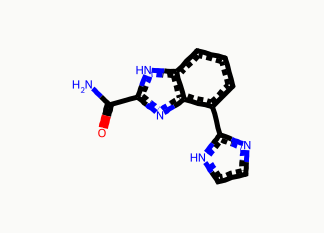 NC(=O)c1nc2c(-c3ncc[nH]3)cccc2[nH]1